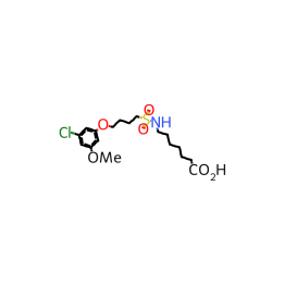 COc1cc(Cl)cc(OCCCCS(=O)(=O)NCCCCCCC(=O)O)c1